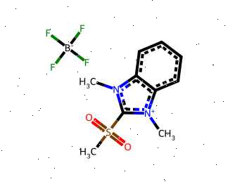 Cn1c(S(C)(=O)=O)[n+](C)c2ccccc21.F[B-](F)(F)F